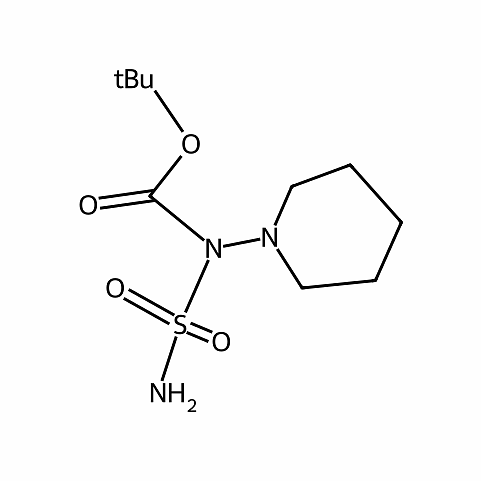 CC(C)(C)OC(=O)N(N1CCCCC1)S(N)(=O)=O